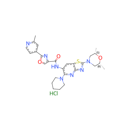 Cc1cc(-c2nc(C(=O)Nc3cc4sc(N5C[C@@H](C)O[C@@H](C)C5)nc4nc3N3CCCCC3)co2)ccn1.Cl